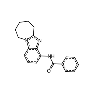 O=C(Nc1cccc2c1nc1n2CCCCC1)c1ccccc1